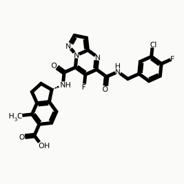 Cc1c(C(=O)O)ccc2c1CC[C@@H]2NC(=O)c1c(F)c(C(=O)NCc2ccc(F)c(Cl)c2)nc2ccnn12